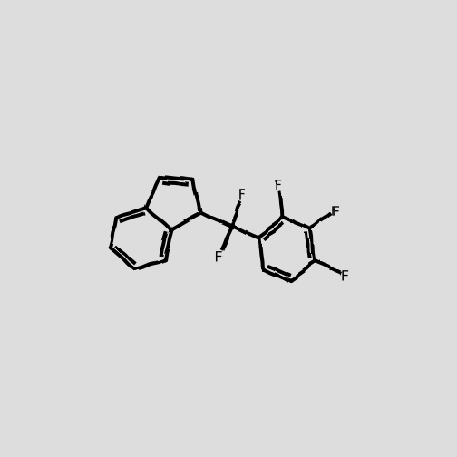 Fc1ccc(C(F)(F)C2C=Cc3ccccc32)c(F)c1F